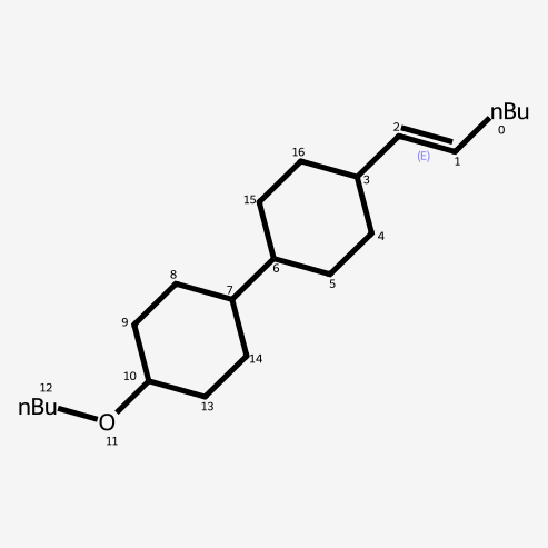 CCCC/C=C/C1CCC(C2CCC(OCCCC)CC2)CC1